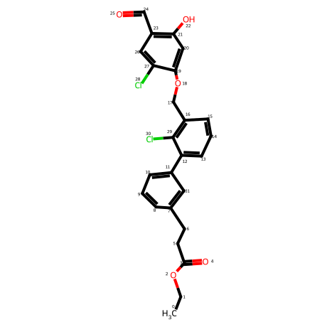 CCOC(=O)CCc1cccc(-c2cccc(COc3cc(O)c(C=O)cc3Cl)c2Cl)c1